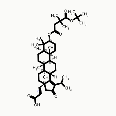 CC(C)C1=C2[C@H]3CC[C@@H]4[C@@]5(C)CC[C@H](OC(=O)CC(C)(C)C(=O)OC(C)(C)C)C(C)(C)[C@@H]5CC[C@@]4(C)[C@]3(C)CC[C@@]2(/C=C/C(=O)O)CC1=O